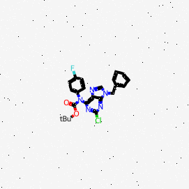 CC(C)(C)OC(=O)N(c1ccc(F)cc1)c1nc(Cl)nc2c1ncn2Cc1ccccc1